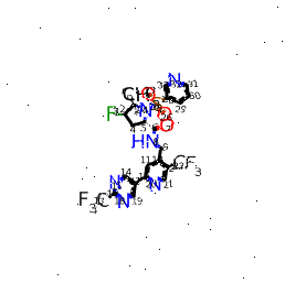 C[C@H]1[C@H](F)C[C@@H](C(=O)NCc2cc(-c3cnc(C(F)(F)F)nc3)ncc2C(F)(F)F)N1S(=O)(=O)c1cccnc1